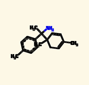 CC1=CCC(C)(C(C)(N)c2ccc(C)cc2)C=C1